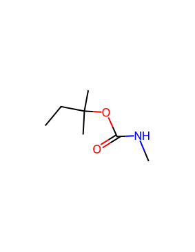 CCC(C)(C)OC(=O)NC